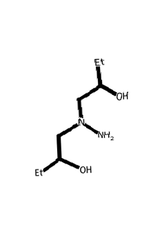 CCC(O)CN(N)CC(O)CC